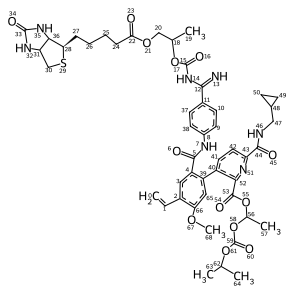 C=Cc1cc(C(=O)Nc2ccc(C(=N)NC(=O)OC(C)COC(=O)CCCC[C@H]3SCC4NC(=O)NC43)cc2)c(-c2ccc(C(=O)NCC3CC3)nc2C(=O)OC(C)OC(=O)OC(C)C)cc1OC